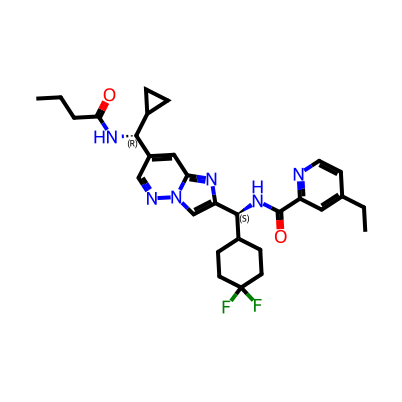 CCCC(=O)N[C@@H](c1cnn2cc([C@@H](NC(=O)c3cc(CC)ccn3)C3CCC(F)(F)CC3)nc2c1)C1CC1